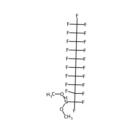 CO[SiH](OC)C(F)(F)C(F)(F)C(F)(F)C(F)(F)C(F)(F)C(F)(F)C(F)(F)C(F)(F)C(F)(F)C(F)(F)F